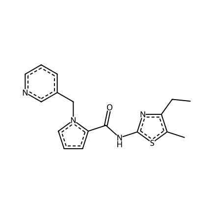 CCc1nc(NC(=O)c2cccn2Cc2cccnc2)sc1C